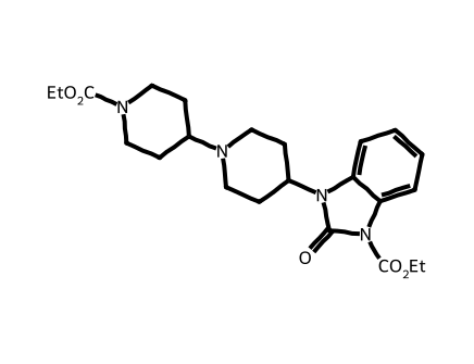 CCOC(=O)N1CCC(N2CCC(n3c(=O)n(C(=O)OCC)c4ccccc43)CC2)CC1